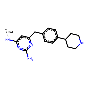 CCC[C@@H](C)Nc1cc(Cc2ccc(C3CCNCC3)cc2)nc(N)n1